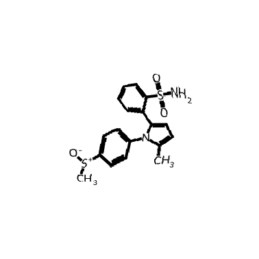 Cc1ccc(-c2ccccc2S(N)(=O)=O)n1-c1ccc([S+](C)[O-])cc1